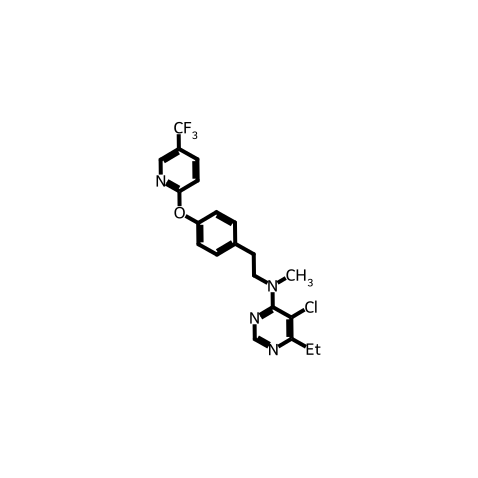 CCc1ncnc(N(C)CCc2ccc(Oc3ccc(C(F)(F)F)cn3)cc2)c1Cl